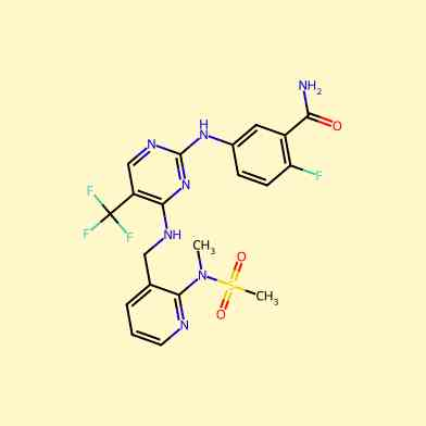 CN(c1ncccc1CNc1nc(Nc2ccc(F)c(C(N)=O)c2)ncc1C(F)(F)F)S(C)(=O)=O